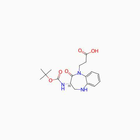 CC(C)(C)OC(=O)N[C@H]1CNc2ccccc2N(CCC(=O)O)C1=O